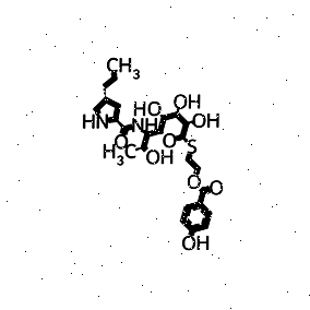 CCC[C@H]1CN[C@H](C(=O)N[C@@H]([C@H]2O[C@H](SCCOC(=O)c3ccc(O)cc3)[C@H](O)[C@@H](O)[C@H]2O)[C@@H](C)O)C1